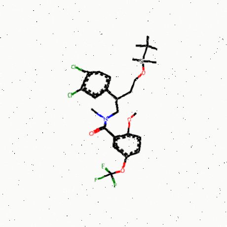 COc1ccc(OC(F)(F)F)cc1C(=O)N(C)CC(CCO[Si](C)(C)C(C)(C)C)c1ccc(Cl)c(Cl)c1